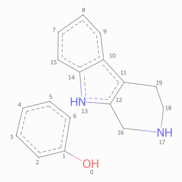 Oc1ccccc1.c1ccc2c3c([nH]c2c1)CNCC3